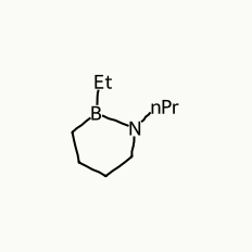 CCCN1CCCCB1CC